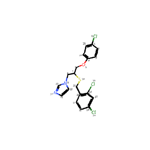 Clc1ccc(OCC(Cn2ccnc2)SCc2ccc(Cl)cc2Cl)cc1